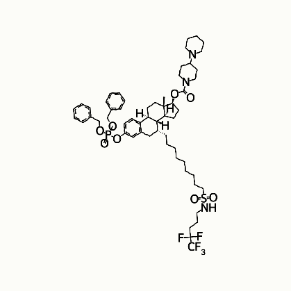 C[C@]12CC[C@@H]3c4ccc(OP(=O)(OCc5ccccc5)OCc5ccccc5)cc4C[C@@H](CCCCCCCCCS(=O)(=O)NCCCC(F)(F)C(F)(F)F)[C@H]3[C@@H]1CC[C@@H]2OC(=O)N1CCC(N2CCCCC2)CC1